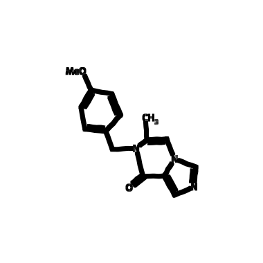 COc1ccc(Cn2c(C)cn3cncc3c2=O)cc1